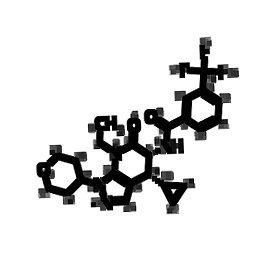 CCN1C(=O)[C@H](NC(=O)c2cccc(C(F)(F)F)c2)[C@H](C2CC2)c2cnn(C3CCOCC3)c21